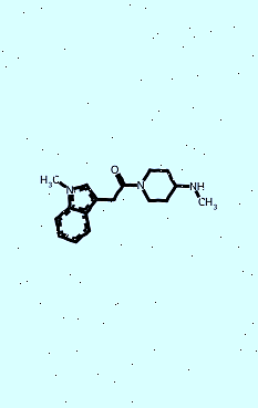 CNC1CCN(C(=O)Cc2cn(C)c3ccccc23)CC1